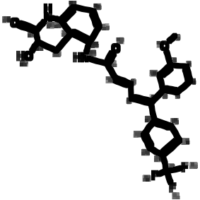 COc1cccc(C(=CC=CC(=O)Nc2cccc3c2CC(O)C(=O)N3)c2ccc(C(F)(F)F)cc2)c1